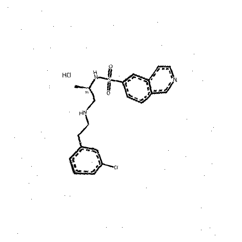 C[C@H](CNCCc1cccc(Cl)c1)NS(=O)(=O)c1ccc2cnccc2c1.Cl